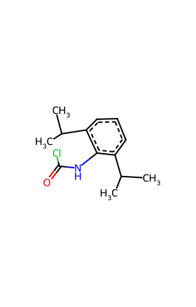 CC(C)c1cccc(C(C)C)c1NC(=O)Cl